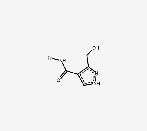 CC(C)NC(=O)c1c[nH]nc1CO